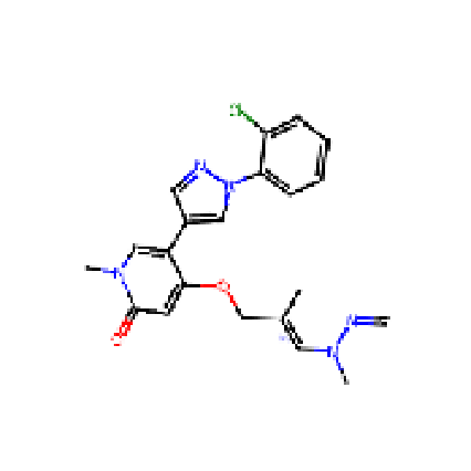 C=NN(C)/C=C(\C)COc1cc(=O)n(C)cc1-c1cnn(-c2ccccc2Cl)c1